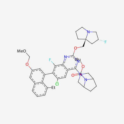 CCc1cccc2cc(OCOC)cc(-c3c(Cl)cc4c(N5CC6CCC(C5)N6C(=O)OC(C)(C)C)nc(OC[C@@]56CCCN5C[C@H](F)C6)nc4c3F)c12